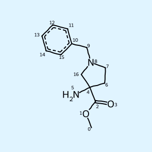 COC(=O)C1(N)CCN(Cc2ccccc2)C1